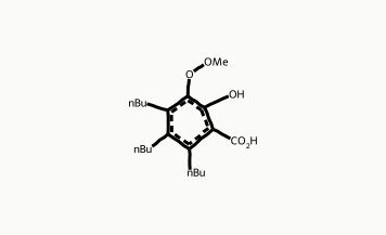 CCCCc1c(CCCC)c(OOC)c(O)c(C(=O)O)c1CCCC